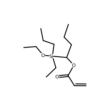 C=CC(=O)OC(CCC)[Si](CC)(CCC)OCC